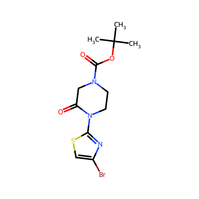 CC(C)(C)OC(=O)N1CCN(c2nc(Br)cs2)C(=O)C1